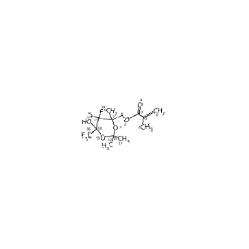 C=C(C)C(=O)OCC1(C)OC(C)(C)OC(O)(C(F)(F)F)C1(F)F